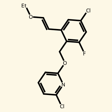 CCO/C=C/c1cc(Cl)cc(F)c1COc1cccc(Cl)n1